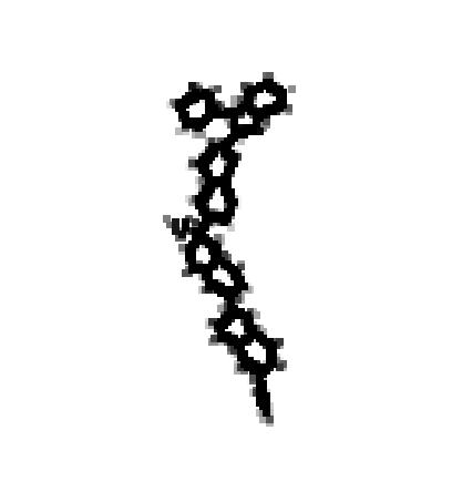 CC1(c2ccc3cc(-c4nc5ccccc5n4-c4ccccc4)ccc3c2)C=c2ccc(-c3ccc4cc(C#N)ccc4c3)cc2=CC1